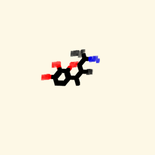 CCC(CC(N)C(=O)O)C(C)c1ccc(O)c(O)c1O